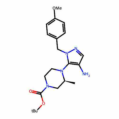 COc1ccc(Cn2ncc(N)c2N2CCN(C(=O)OC(C)(C)C)C[C@@H]2C)cc1